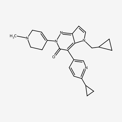 CN1CC=C(n2nc3ccn(CC4CC4)c3c(-c3ccc(C4CC4)nc3)c2=O)CC1